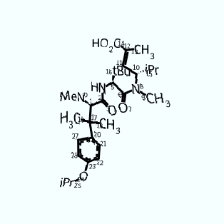 CN[C@@H](C(=O)N[C@H](C(=O)N(C)[C@H](/C=C(\C)C(=O)O)C(C)C)C(C)(C)C)C(C)(C)c1ccc(OC(C)C)cc1